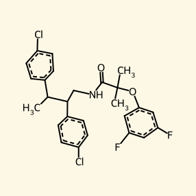 CC(c1ccc(Cl)cc1)C(CNC(=O)C(C)(C)Oc1cc(F)cc(F)c1)c1ccc(Cl)cc1